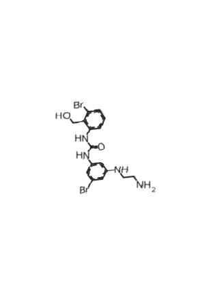 NCCNc1cc(Br)cc(NC(=O)Nc2cccc(Br)c2CO)c1